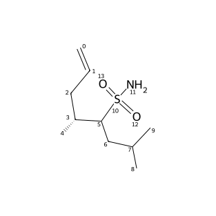 C=CC[C@@H](C)C(CC(C)C)S(N)(=O)=O